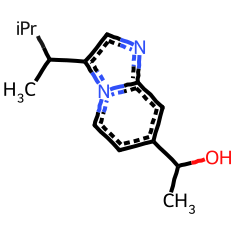 CC(O)c1ccn2c(C(C)C(C)C)cnc2c1